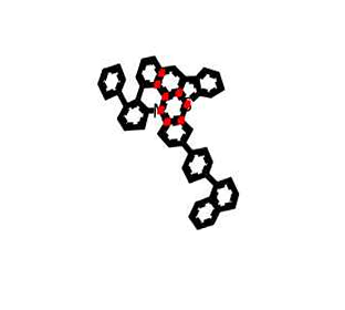 c1ccc(-c2ccccc2-c2c(-c3ccccc3)cccc2N(c2ccc(-c3ccc(-c4cccc5ccccc45)cc3)cc2)c2cccc3c2sc2ccccc23)cc1